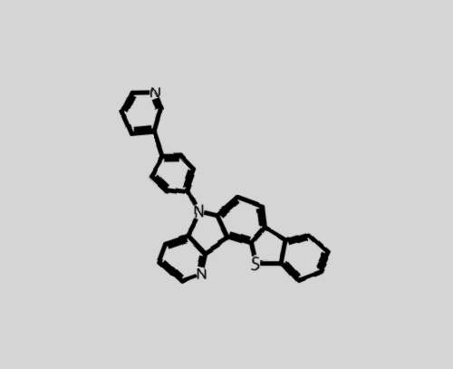 c1cncc(-c2ccc(-n3c4cccnc4c4c5sc6ccccc6c5ccc43)cc2)c1